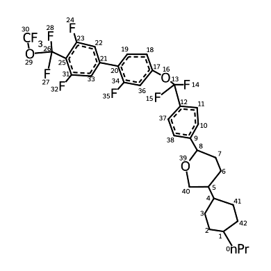 CCCC1CCC(C2CCC(c3ccc(C(F)(F)Oc4ccc(-c5cc(F)c(C(F)(F)OC(F)(F)F)c(F)c5)c(F)c4)cc3)OC2)CC1